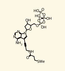 CSCCC(=O)NCC#Cc1cn(C2CC(O)C(COP(=O)(O)OP(=O)(O)OP(=O)(O)O)O2)c2ncnc(N)c12